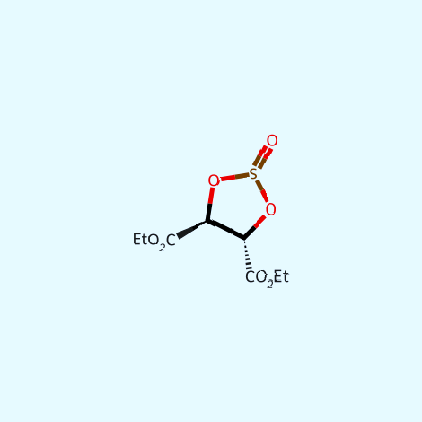 CCOC(=O)[C@H]1OS(=O)O[C@@H]1C(=O)OCC